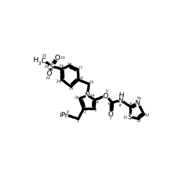 CC(C)Cc1cc(OC(=O)Nc2nccs2)n(Cc2ccc(S(C)(=O)=O)cc2)c1